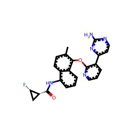 Cc1ccc2c(NC(=O)[C@@H]3C[C@@H]3F)cccc2c1Oc1ncccc1-c1ccnc(N)n1